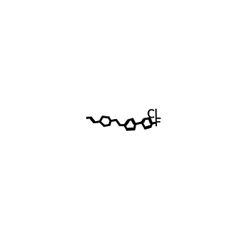 CC=CC1CCC(CCc2ccc(-c3ccc(F)c(Cl)c3)cc2)CC1